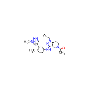 CN/C=C(\C=N)c1cc(Nc2nn(CC3CC3)c3c2CN(C(C)=O)CC3)ccc1C